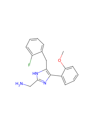 COc1ccccc1-c1nc(CN)[nH]c1Cc1ccccc1F